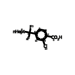 CCCCCCCC(F)(F)c1ccc(C(=O)O)c(Cl)c1